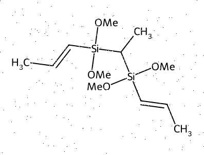 CC=C[Si](OC)(OC)C(C)[Si](C=CC)(OC)OC